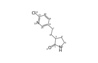 O=C1NCCC1CCc1ccc(Cl)nc1